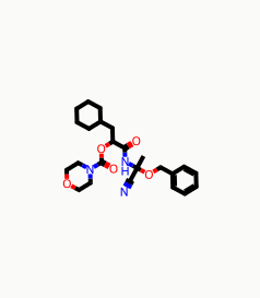 CC(C#N)(NC(=O)C(CC1CCCCC1)OC(=O)N1CCOCC1)OCc1ccccc1